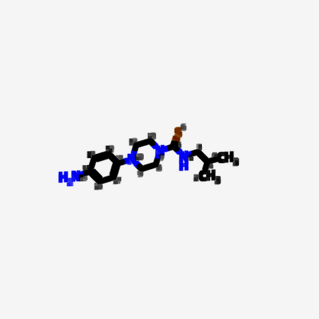 CC(C)CNC(=S)N1CCN(c2ccc(N)cc2)CC1